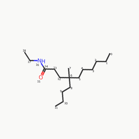 CCCCCCC(C)(CCCC)CCC(=O)NCC